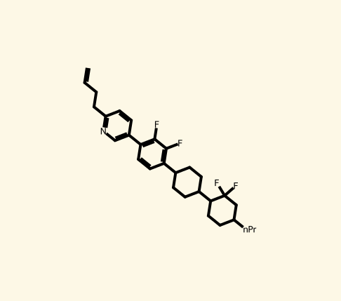 C=CCCc1ccc(-c2ccc(C3CCC(C4CCC(CCC)CC4(F)F)CC3)c(F)c2F)cn1